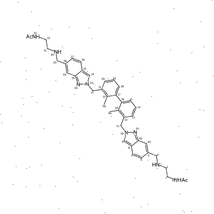 CC(=O)NCCNCc1ccc2cn(Cc3cccc(-c4cccc(Cn5cc6ccc(CNCCNC(C)=O)cc6n5)c4C)c3C)nc2c1